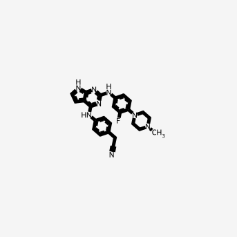 CN1CCN(c2ccc(Nc3nc(Nc4ccc(CC#N)cc4)c4cc[nH]c4n3)cc2F)CC1